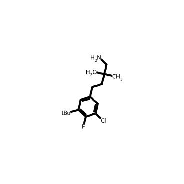 CC(C)(CN)CCc1cc(Cl)c(F)c(C(C)(C)C)c1